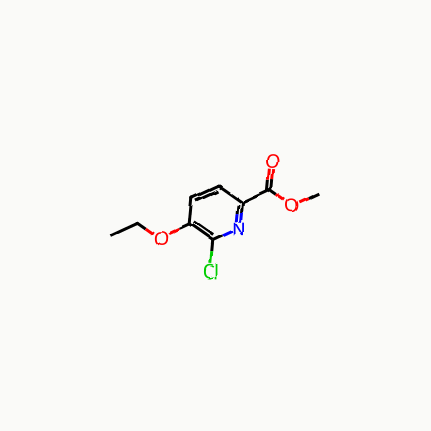 CCOc1ccc(C(=O)OC)nc1Cl